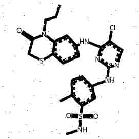 CCCN1C(=O)CSc2ccc(Nc3nc(Nc4ccc(C)c(S(=O)(=O)NC)c4)ncc3Cl)cc21